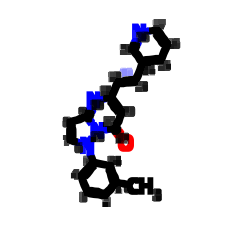 Cc1cccc(-n2ccc3nc(/C=C/c4cccnc4)cc(=O)n32)c1